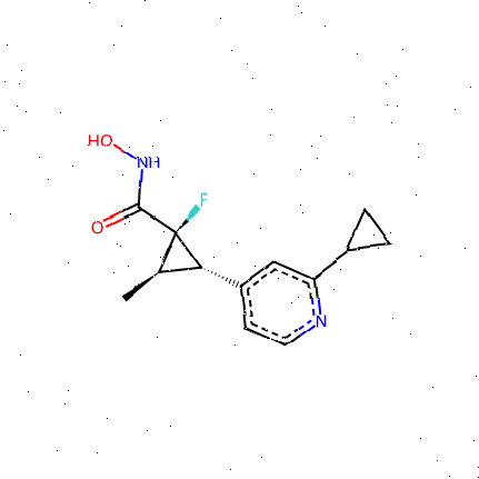 C[C@@H]1[C@@H](c2ccnc(C3CC3)c2)[C@@]1(F)C(=O)NO